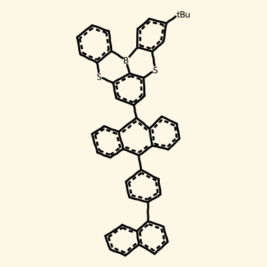 CC(C)(C)c1ccc2c(c1)Sc1cc(-c3c4ccccc4c(-c4ccc(-c5cccc6ccccc56)cc4)c4ccccc34)cc3c1B2c1ccccc1S3